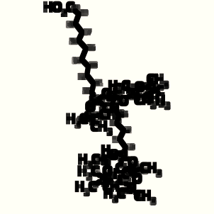 C[SiH](O[Si](C)(C)C)O[Si](C)(CCCCCC[Si](C)(O[Si](C)(C)O[Si](C)(C)C)O[Si](C)(CCCCCCCCCCC(=O)O)O[Si](C)(C)C)O[Si](C)(C)O[Si](C)(C)C